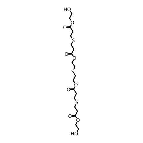 O=C(CCSCCC(=O)OCCSCCOC(=O)CCSCCC(=O)OCCO)OCCO